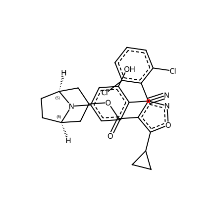 N#Cc1ccc(N2[C@@H]3CC[C@H]2CC(OC(=O)c2c(-c4c(Cl)cccc4Cl)noc2C2CC2)C3)cc1O